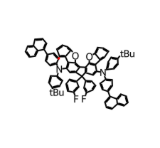 CC(C)(C)c1ccc(N(c2ccc(-c3cccc4ccccc34)cc2)c2cc3c(c4oc5ccccc5c24)-c2c(cc(N(c4ccc(-c5cccc6ccccc56)cc4)c4ccc(C(C)(C)C)cc4)c4c2oc2ccccc24)C3(c2cccc(F)c2)c2cccc(F)c2)cc1